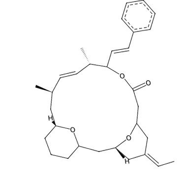 C/C=C1\CC2CC(=O)OC(/C=C/c3ccccc3)[C@@H](C)/C=C/[C@H](C)C[C@H]3CCCC(C[C@@H](C1)O2)O3